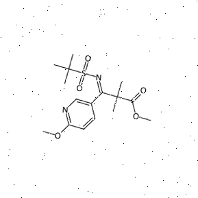 COC(=O)C(C)(C)C(=NS(=O)(=O)C(C)(C)C)c1ccc(OC)nc1